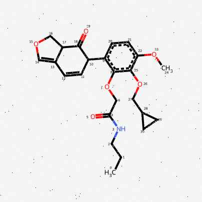 CCCNC(=O)COc1c(C2C=CC3=COCC3C2=O)ccc(OC)c1OCC1CC1